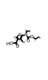 CCOC(=O)N(CC)c1scc(C(=O)O)c1C